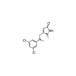 CN(Cc1cc(=O)[nH]n1C)c1cc(Cl)cc(Cl)c1